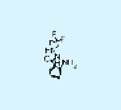 Nc1ccccc1C(=O)NNCC(F)(F)F